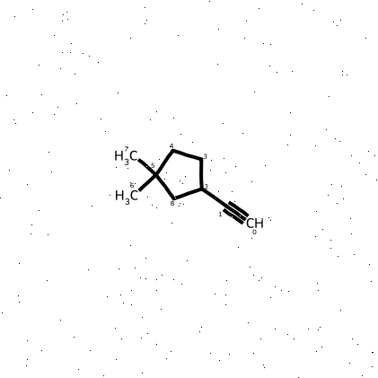 C#CC1CCC(C)(C)C1